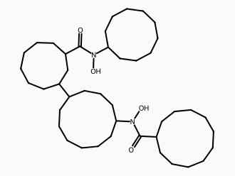 O=C(C1CCCCCCCCCC1)N(O)C1CCCCCCC(C2CCCCCCC(C(=O)N(O)C3CCCCCCCCC3)C2)CCC1